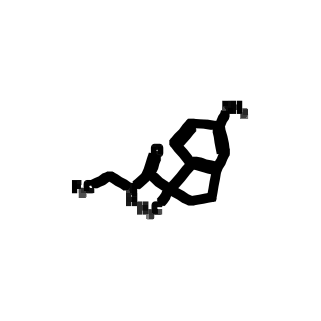 CC1(C(=O)NCC(F)(F)F)CCc2cc(N)ccc21